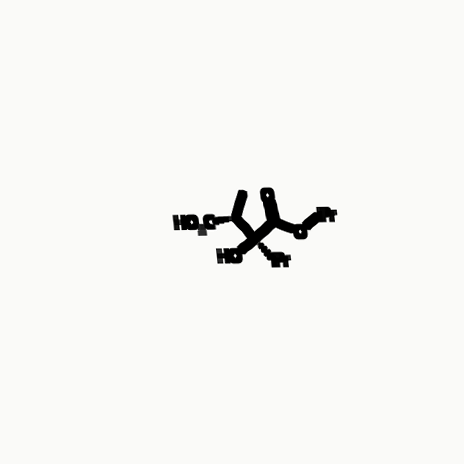 CC(C)OC(=O)[C@](O)(C(C)C)[C@@H](C)C(=O)O